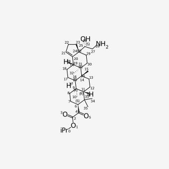 CC(C)OC(=O)C(=O)[C@H]1CC[C@]2(C)[C@H](CC[C@]3(C)[C@@H]2CC[C@@H]2C4=CCC[C@@]4([C@H](O)CN)CC[C@]23C)C1(C)C